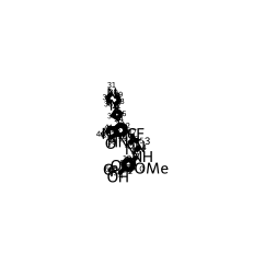 COc1cc(CP(=O)(O)O)ccc1Nc1ncc(C(F)(F)F)c(Nc2ccc([C@H]3C[C@H](N4CCN(C)CC4)C3)c3c2C(=O)N(C)C3)n1